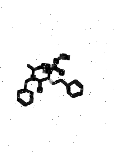 C[C@@H](C(=O)O)N(Cc1ccccc1)C(=O)[C@@H](CCc1ccccc1)NC(=O)OC(C)(C)C